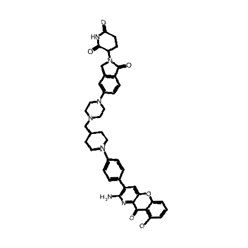 Nc1nc2c(=O)c3c(Cl)cccc3oc2cc1-c1ccc(N2CCC(CN3CCN(c4ccc5c(c4)CN(C4CCC(=O)NC4=O)C5=O)CC3)CC2)cc1